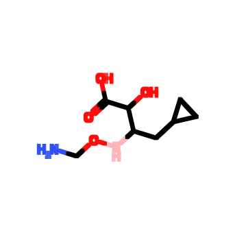 NCOBC(CC1CC1)C(O)C(=O)O